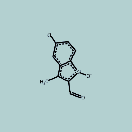 Cc1c(C=O)[s+]([O-])c2ccc(Cl)cc12